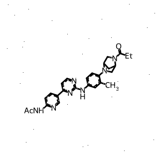 CCC(=O)N1CC2CC1CN2c1ccc(Nc2nccc(-c3ccc(NC(C)=O)nc3)n2)cc1C